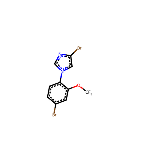 FC(F)(F)Oc1cc(Br)ccc1-n1cnc(Br)c1